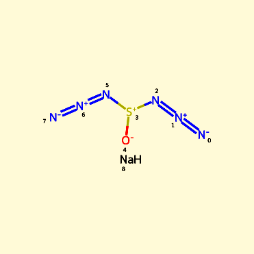 [N-]=[N+]=N[S+]([O-])N=[N+]=[N-].[NaH]